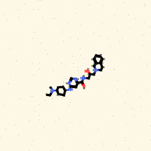 CCN(C)[C@H]1CC[C@@H](Nc2cc(C(=O)NCC(O)CN3CCc4ccccc4C3)ncn2)CC1